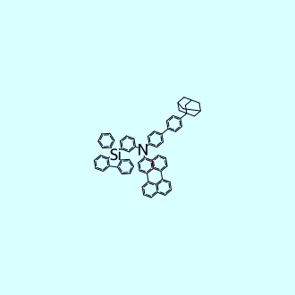 c1ccc(-c2cccc3cccc(-c4ccc(N(c5ccc(-c6ccc(C78CC9CC(CC(C9)C7)C8)cc6)cc5)c5cccc([Si]6(c7ccccc7)c7ccccc7-c7ccccc76)c5)cc4)c23)cc1